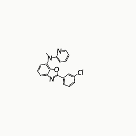 CN(c1ccccn1)c1cccc2nc(-c3cccc(Cl)c3)oc12